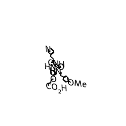 COc1ccc(CCNC(=O)C(NC(=O)CCc2cccnc2)Nc2ccc(OCCCC(=O)O)cc2)cc1